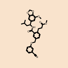 COC(=O)CCc1ccc(COc2cccc(C#N)c2)cc1C(=O)NC(CC(C)C)c1cc(OC)c2c(c1)OCO2